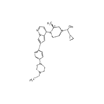 CCN1CCN(c2ccc(-c3cc4c(N5CCN(C(O)C6CC6)C[C@@H]5C)ccnn4c3)cc2)CC1